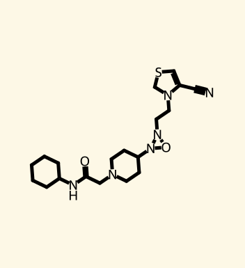 N#CC1=CSCN1CCn1on1C1CCN(CC(=O)NC2CCCCC2)CC1